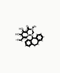 CC(C)N1CN(C2c3ccccc3CCc3ccccc32)N2C=C(CF)C(O)C(O)=C2C1=O